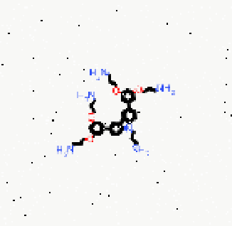 NCCCOc1cc(OCCCN)cc(-c2ccc3c(c2)c2cc(-c4cc(OCCCN)cc(OCCCN)c4)ccc2n3CCCN)c1